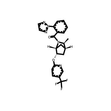 C[C@H]1[C@@H]2C[C@H](Oc3ccc(C(F)(F)F)cn3)[C@@H](C2)N1C(=O)c1ccccc1-n1nccn1